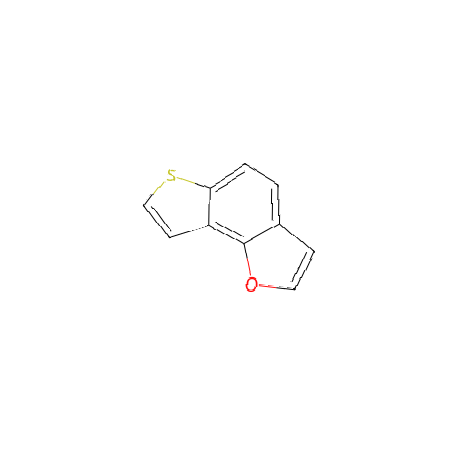 c1cc2ccc3sccc3c2o1